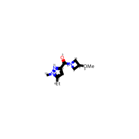 CCc1cc(C(=O)N2CC(OC)C2)nn1C